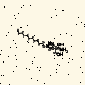 CCCCCCCCCCCCn1cc(C(CO)C(N)O)nn1